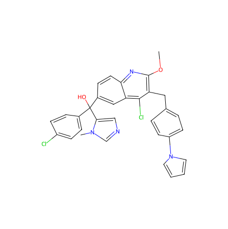 COc1nc2ccc(C(O)(c3ccc(Cl)cc3)c3cncn3C)cc2c(Cl)c1Cc1ccc(-n2cccc2)cc1